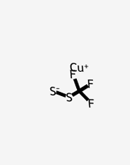 FC(F)(F)S[S-].[Cu+]